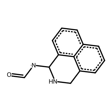 O=C[N]C1NCc2cccc3cccc1c23